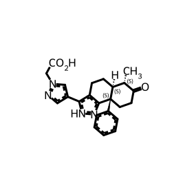 C[C@@H]1C(=O)CC[C@]2(c3ccccc3)c3n[nH]c(-c4cnn(CC(=O)O)c4)c3CC[C@@H]12